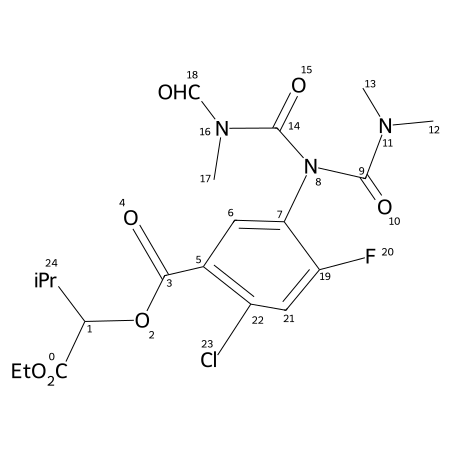 CCOC(=O)C(OC(=O)c1cc(N(C(=O)N(C)C)C(=O)N(C)C=O)c(F)cc1Cl)C(C)C